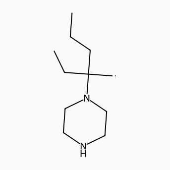 [CH2]C(CC)(CCC)N1CCNCC1